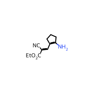 CCOC(=O)/C(C#N)=C/C1=C(N)CCC1